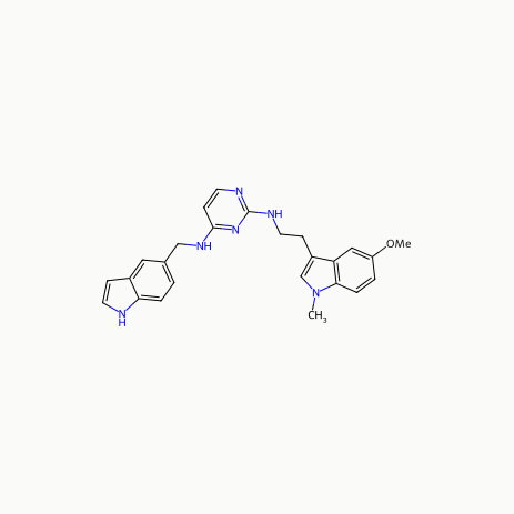 COc1ccc2c(c1)c(CCNc1nccc(NCc3ccc4[nH]ccc4c3)n1)cn2C